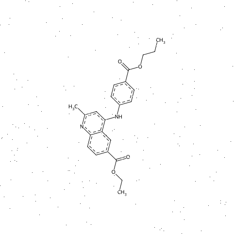 CCCOC(=O)c1ccc(Nc2cc(C)nc3ccc(C(=O)OCC)cc23)cc1